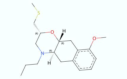 CCCN1C[C@H](CSC)O[C@@H]2Cc3c(cccc3OC)C[C@H]21